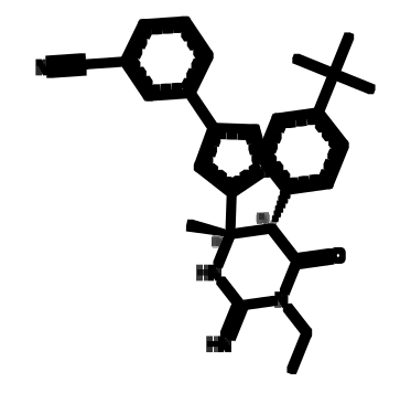 CCN1C(=N)N[C@](C)(c2cc(-c3cccc(C#N)c3)cs2)[C@H](c2ccc(C(C)(C)C)cc2)C1=O